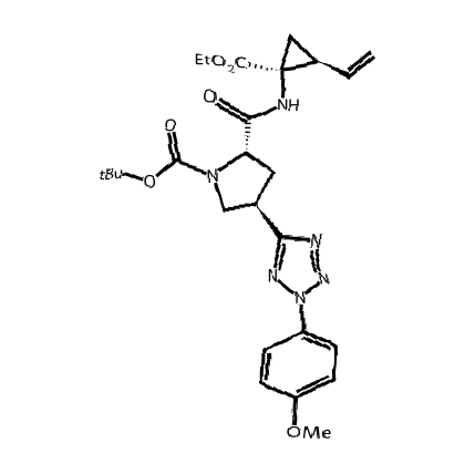 C=C[C@@H]1C[C@@]1(NC(=O)[C@@H]1C[C@@H](c2nnn(-c3ccc(OC)cc3)n2)CN1C(=O)OC(C)(C)C)C(=O)OCC